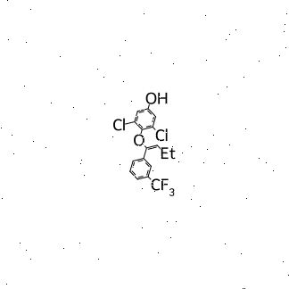 CCC=C(Oc1c(Cl)cc(O)cc1Cl)c1cccc(C(F)(F)F)c1